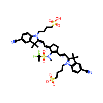 CN(C1=C(/C=C/C2=[N+](CCCCS(=O)(=O)[O-])c3ccc(C#N)cc3C2(C)C)CC/C1=C\C=C1\N(CCCCS(=O)(=O)O)c2ccc(C#N)cc2C1(C)C)S(=O)(=O)C(C)(F)F